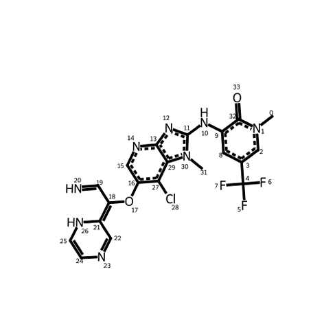 Cn1cc(C(F)(F)F)cc(Nc2nc3ncc(O/C(C=N)=C4\C=NC=CN4)c(Cl)c3n2C)c1=O